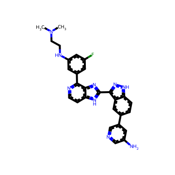 CN(C)CCNc1cc(F)cc(-c2nccc3[nH]c(-c4n[nH]c5ccc(-c6cncc(N)c6)cc45)nc23)c1